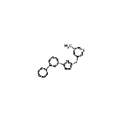 Cc1cncc(Cn2ccc(-c3cccc(-c4ccccc4)c3)n2)c1